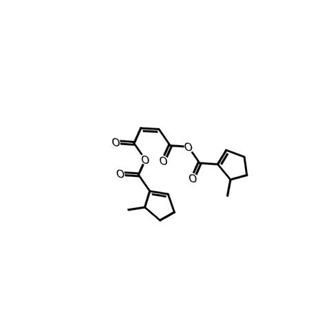 CC1CCC=C1C(=O)OC(=O)/C=C\C(=O)OC(=O)C1=CCCC1C